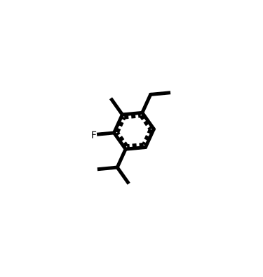 CCc1ccc(C(C)C)c(F)c1C